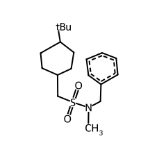 CN(Cc1ccccc1)S(=O)(=O)CC1CCC(C(C)(C)C)CC1